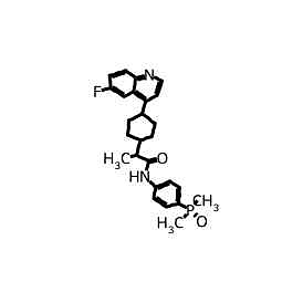 CC(C(=O)Nc1ccc(P(C)(C)=O)cc1)C1CCC(c2ccnc3ccc(F)cc23)CC1